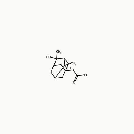 CC(C)C(=O)OC12CC3CC(C1)C(C)(O)C(C2)C3(C)O